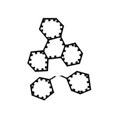 c1ccc(Nc2ccccc2)cc1.c1ccc2c(c1)c1ccccc1c1ccccc21